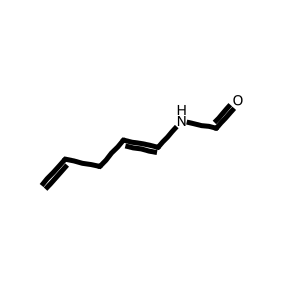 C=CCC=CNC=O